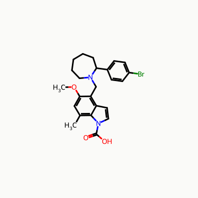 COc1cc(C)c2c(ccn2C(=O)O)c1CN1CCCCCC1c1ccc(Br)cc1